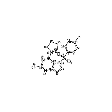 Cc1ccc(S(=O)(=O)n2ccc3nc(Cl)nc(N4CCCC4)c32)cc1